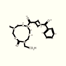 CN1CCC(=O)N(CC(=O)O)CCCN(C(=O)C2CN(C(=O)c3ccccc3)C2)CC1